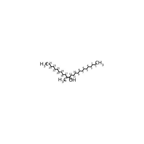 CCCCCCCCCCCCCC(O)C(C)CCCCCCCCCC